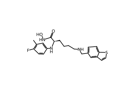 Cc1cc(N[C@H](CCCCNCc2ccc3sccc3c2)C(=O)NO)ccc1F